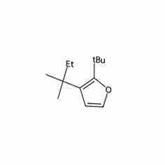 CCC(C)(C)c1ccoc1C(C)(C)C